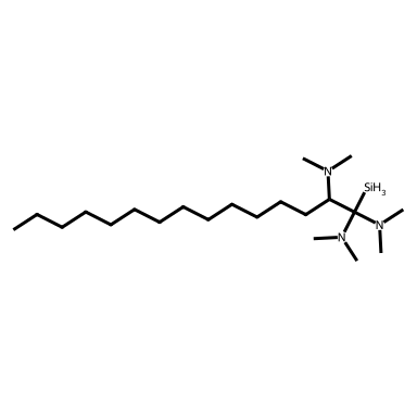 CCCCCCCCCCCCCC(N(C)C)C([SiH3])(N(C)C)N(C)C